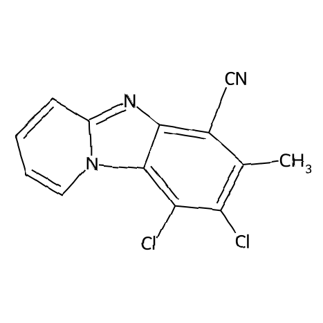 Cc1c(Cl)c(Cl)c2c(nc3ccccn32)c1C#N